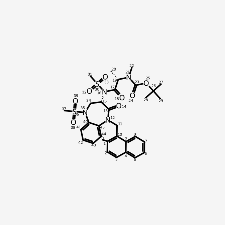 Cc1ccc2ccccc2c1CN1C(=O)[C@@H](N(C(=O)[C@H](C)N(C)C(=O)OC(C)(C)C)S(C)(=O)=O)CN(S(C)(=O)=O)c2ccccc21